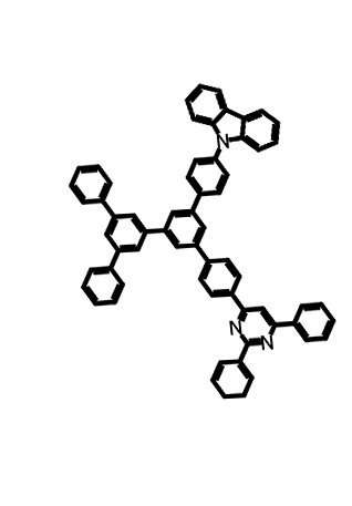 C1=CC(c2nc(-c3ccccc3)cc(-c3ccc(-c4cc(-c5ccc(-n6c7ccccc7c7ccccc76)cc5)cc(-c5cc(-c6ccccc6)cc(-c6ccccc6)c5)c4)cc3)n2)=CCC1